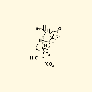 CC(C)NC1C[C@@H]2[C@H](CC[C@]3(C)[C@@H]([C@H](C)CCC(=O)O)CC[C@@H]23)[C@@]2(C)CCC(=O)C[C@@H]12